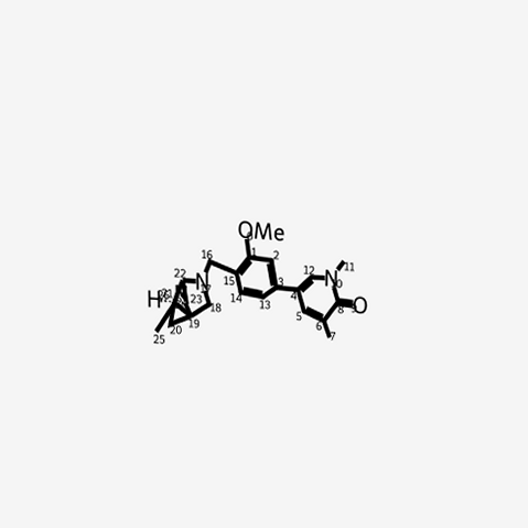 COc1cc(-c2cc(C)c(=O)n(C)c2)ccc1CN1CC23C[C@H]2C1CN3C